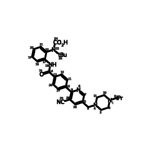 CC(C)N1CCN(Cc2cnc(-c3ccc(C(=O)Nc4ccccc4N(C(=O)O)C(C)(C)C)cc3)c(C#N)c2)CC1